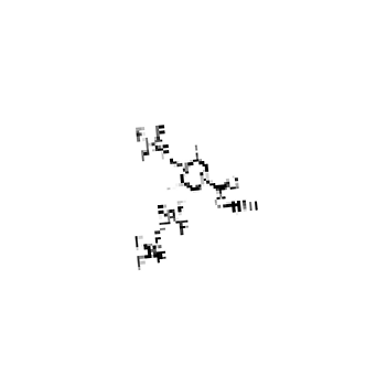 C[C@@H]1CN(C(=O)OC(C)(C)C)C[C@H](C)N1C.F[B-](F)(F)F.F[B-](F)(F)F.F[B-](F)(F)F